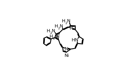 NC1=Cc2cc3ccc(cc4nc(cc5c(-c6ccccc6)c(N)c(c(N)c1n2)n5N)C=C4)[nH]3.[Ni]